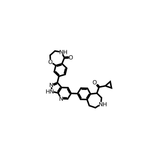 O=C1NCCOc2cc(-c3n[nH]c4ncc(-c5ccc6c(c5)CCNCC6C(=O)C5CC5)cc34)ccc21